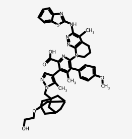 COc1ccc(-c2c(N3CCCc4c3nnc(Nc3nc5ccccc5s3)c4C)nc(C(=O)O)c(-c3cnn(CC45CC6CC(C4)CC(OCCO)(C6)C5)c3C)c2C)cc1